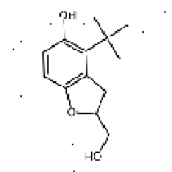 CC(C)(C)c1c(O)ccc2c1CC(CO)O2